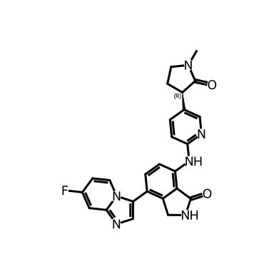 CN1CC[C@H](c2ccc(Nc3ccc(-c4cnc5cc(F)ccn45)c4c3C(=O)NC4)nc2)C1=O